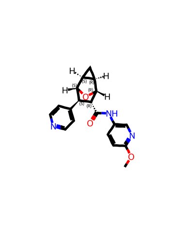 COc1ccc(NC(=O)[C@H]2[C@@H]3O[C@@H]([C@H]4C[C@H]43)[C@@H]2c2ccncc2)cn1